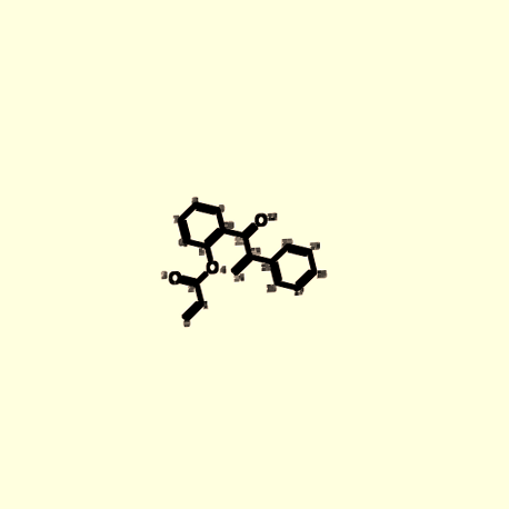 C=CC(=O)Oc1[c]cccc1C(=O)C(=C)c1ccccc1